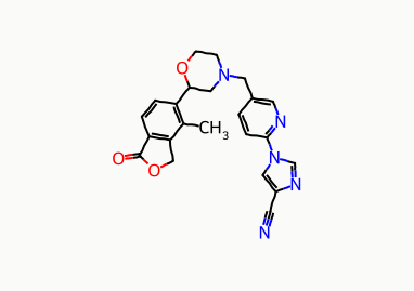 Cc1c(C2CN(Cc3ccc(-n4cnc(C#N)c4)nc3)CCO2)ccc2c1COC2=O